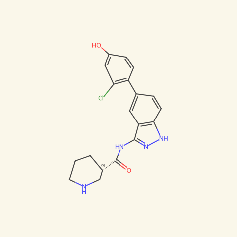 O=C(Nc1n[nH]c2ccc(-c3ccc(O)cc3Cl)cc12)[C@H]1CCCNC1